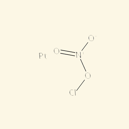 O=[N+]([O-])OCl.[Pt]